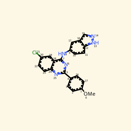 COc1ccc(-c2nc(Nc3ccc4[nH]ncc4c3)c3cc(Cl)ccc3n2)cc1